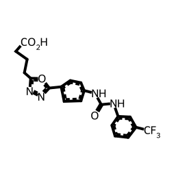 O=C(O)CCCc1nnc(-c2ccc(NC(=O)Nc3cccc(C(F)(F)F)c3)cc2)o1